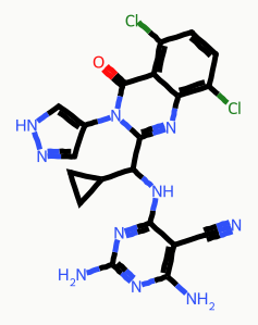 N#Cc1c(N)nc(N)nc1NC(c1nc2c(Cl)ccc(Cl)c2c(=O)n1-c1cn[nH]c1)C1CC1